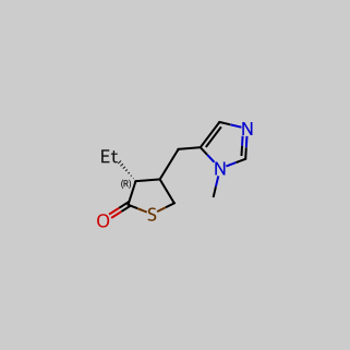 CC[C@H]1C(=O)SCC1Cc1cncn1C